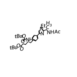 CCn1cc(-c2ccc(C[C@@H](CCC(=O)OC(C)(C)C)NC(=O)OC(C)(C)C)cc2)nc1[C@@H](C)NC(C)=O